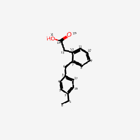 CCc1ccc(Cc2ccccc2CC(=O)O)cc1